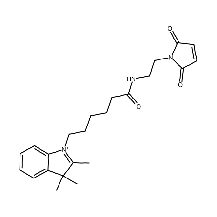 CC1=[N+](CCCCCC(=O)NCCN2C(=O)C=CC2=O)c2ccccc2C1(C)C